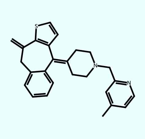 C=C1Cc2ccccc2C(=C2CCN(Cc3cc(C)ccn3)CC2)c2ccsc21